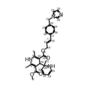 COC(=O)C1=C(C)NC(C)=C(C(=O)OC/C=C/c2ccc(Cn3ccnc3)cc2)C1C1(C)C=CC=CN1